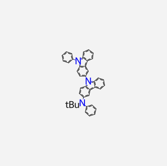 CC(C)(C)N(c1ccccc1)c1ccc2c(c1)c1ccccc1n2-c1ccc2c(c1)c1ccccc1n2-c1ccccc1